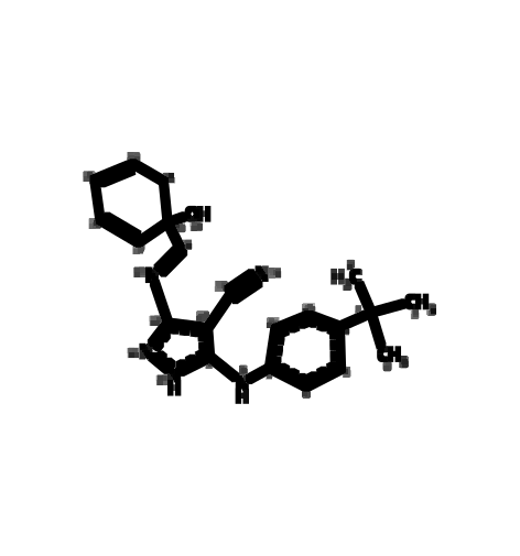 CC(C)(C)c1ccc(Nc2[nH]nc(N=CC3(O)C=CC=CC3)c2C#N)cc1